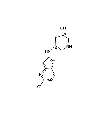 O[C@@H]1CNC[C@H](Nc2nc3nc(Cl)ccc3o2)C1